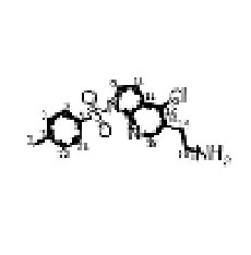 Cc1ccc(S(=O)(=O)n2ccc3c(Cl)c(CCN)cnc32)cc1